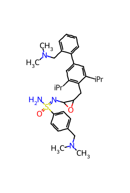 CC(C)c1cc(-c2ccccc2CN(C)C)cc(C(C)C)c1CC1OC1N=S(N)(=O)c1ccc(CN(C)C)cc1